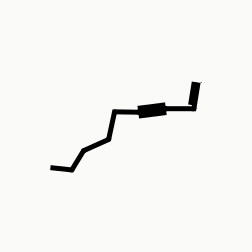 [CH]=CC#CCCCCC